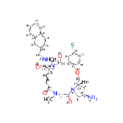 CN1CC(=O)N2C[C@H](N)C[C@H]2COc2ccc(F)cc2C(=O)N(C)[C@H](C(=O)NCc2ccc3ccccc3c2)CCC1=O